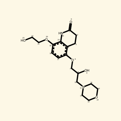 O=C1CCc2c(OCC(O)CN3CCOCC3)ccc(OCCO)c2N1